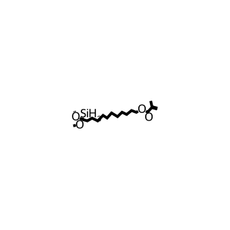 C=C(C)C(=O)OCCCCCCCCCCCC([SiH3])(OC)OC